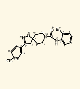 O=C(Nc1ccccc1Br)N1CCC2(CC1)CC(c1ccc(Cl)cc1)=NO2